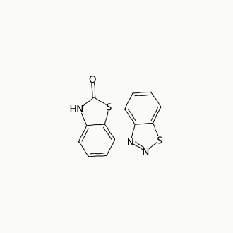 O=c1[nH]c2ccccc2s1.c1ccc2snnc2c1